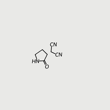 N#CCC#N.O=C1CCCN1